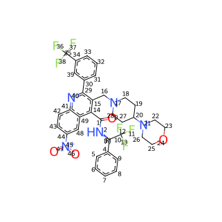 O=C(N[C@H](c1ccccc1)C(F)(F)F)c1c(CN2CCC(N3CCOCC3)CC2)c(-c2cccc(C(F)(F)F)c2)nc2ccc([N+](=O)[O-])cc12